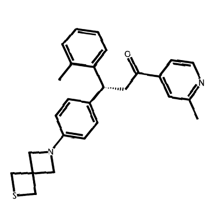 Cc1cc(C(=O)C[C@H](c2ccc(N3CC4(CSC4)C3)cc2)c2ccccc2C)ccn1